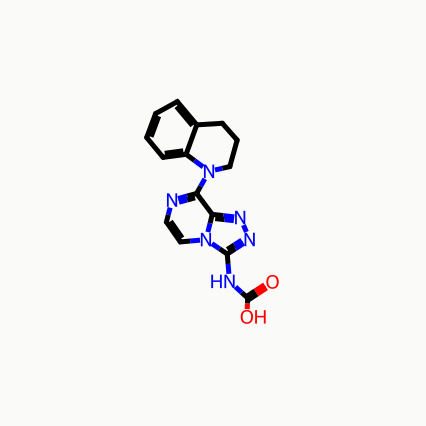 O=C(O)Nc1nnc2c(N3CCCc4ccccc43)nccn12